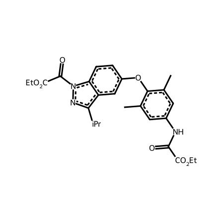 CCOC(=O)C(=O)Nc1cc(C)c(Oc2ccc3c(c2)c(C(C)C)nn3C(=O)C(=O)OCC)c(C)c1